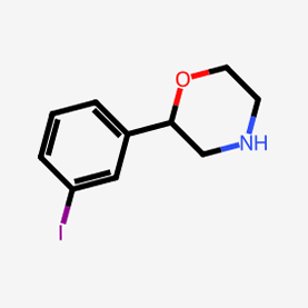 Ic1cccc(C2CNCCO2)c1